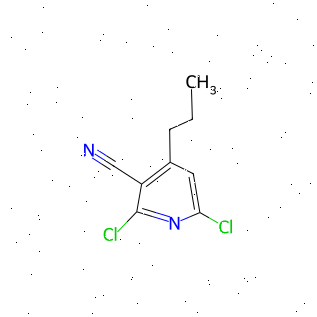 CCCc1cc(Cl)nc(Cl)c1C#N